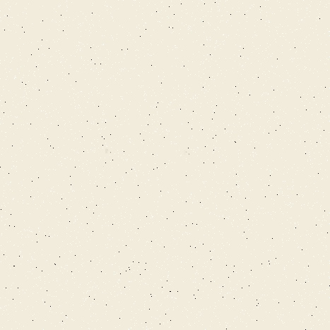 Cc1ccc(NCc2cc(C)c(NC(=O)CC3CCCC3)c(C)c2)cc1